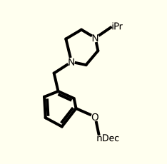 CCCCCCCCCCOc1cccc(CN2CCN(C(C)C)CC2)c1